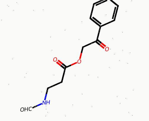 O=CNCCC(=O)OCC(=O)c1ccccc1